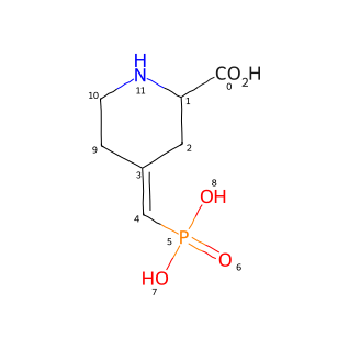 O=C(O)C1C/C(=C\P(=O)(O)O)CCN1